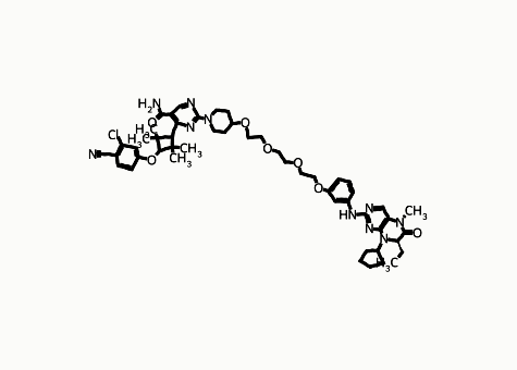 CC[C@@H]1C(=O)N(C)c2cnc(Nc3cccc(OCCOCCOCCOC4CCN(c5ncc(C(N)=O)c(C6C(C)(C)C(Oc7ccc(C#N)c(Cl)c7)C6(C)C)n5)CC4)c3)nc2N1C1CCCC1